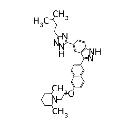 CC(C)CCc1n[nH]c(-c2ccc3[nH]nc(-c4ccc5cc(OCCN6[C@H](C)CCC[C@@H]6C)ccc5c4)c3c2)n1